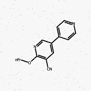 CCCOc1ncc(-c2ccncc2)cc1C#N